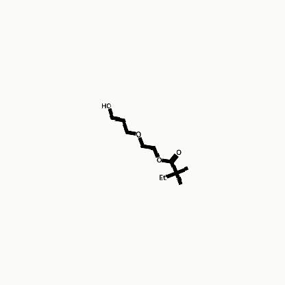 CCC(C)(C)C(=O)OCCOCCCO